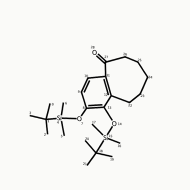 CC(C)(C)[Si](C)(C)Oc1ccc2c(c1O[Si](C)(C)C(C)(C)C)CCCCCC2=O